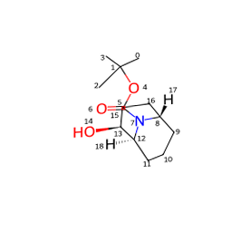 CC(C)(C)OC(=O)N1[C@H]2CCC[C@H]1[C@@H](O)CC2